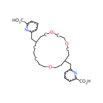 O=C(O)c1cccc(CC2CCCCCOCCC(Cc3cccc(C(=O)O)n3)CCOCCOCC2)n1